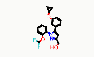 OCc1cc(-c2cccc(OC3CC3)c2)n(-c2ccccc2OC(F)F)n1